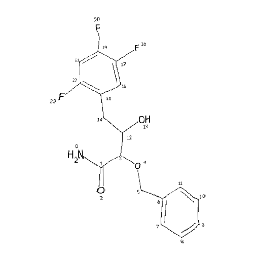 NC(=O)C(OCc1ccccc1)C(O)Cc1cc(F)c(F)cc1F